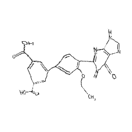 CCOc1cc(-c2cc(C(=O)O)cc(C(=O)O)c2)ccc1-c1nc2[nH]cnc2c(=O)[nH]1